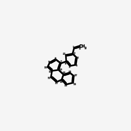 C=Cc1cccc(-c2cccc3ccc4ccccc4c23)c1